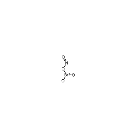 O=NO[Br+2]([O-])[O-]